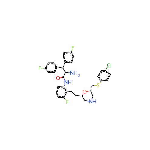 NC(C(=O)Nc1cccc(F)c1CC[C@@H]1CNC[C@@H](CSc2ccc(Cl)cc2)O1)C(c1ccc(F)cc1)c1ccc(F)cc1